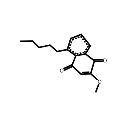 CCCCCc1cccc2c1C(=O)C=C(OC)C2=O